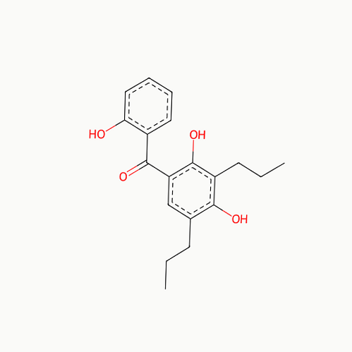 CCCc1cc(C(=O)c2ccccc2O)c(O)c(CCC)c1O